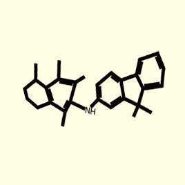 Cc1c(C)c2c(c(C)c1Nc1ccc3c(c1)C(C)(C)c1ccccc1-3)CCCC2C